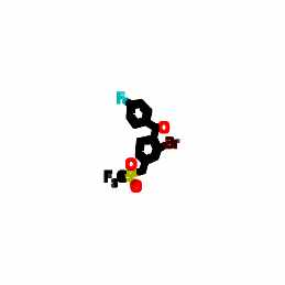 O=C(c1ccc(F)cc1)c1ccc(CS(=O)(=O)C(F)(F)F)cc1Br